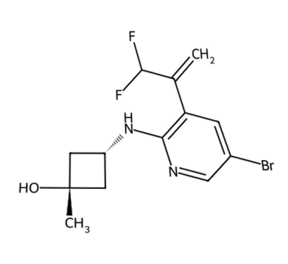 C=C(c1cc(Br)cnc1N[C@H]1C[C@@](C)(O)C1)C(F)F